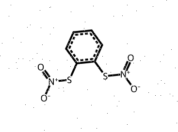 O=[N+]([O-])Sc1ccccc1S[N+](=O)[O-]